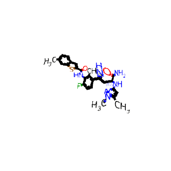 Cc1ccc2cc(C(=O)Nc3c(F)ccc(C(=N)/C=C(/Nc4cc(C)n(C)n4)C(N)=O)c3C)sc2c1